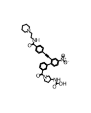 O=C(O)NC1CCN(C(=O)c2cccc(-c3ccc([N+](=O)[O-])cc3C#Cc3ccc(C(=O)NCCN4CCCCC4)cc3)c2)C1